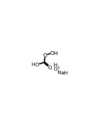 O.O=C(O)OO.[NaH]